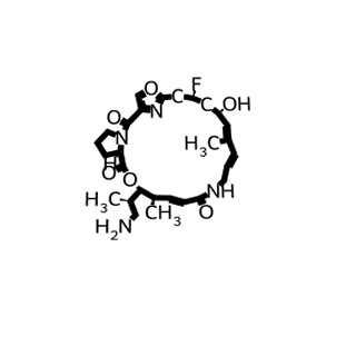 CC1=C\[C@@H](O)C[C@@H](F)Cc2nc(co2)C(=O)N2CCC[C@@H]2C(=O)O[C@H]([C@@H](C)CN)[C@H](C)/C=C/C(=O)NC\C=C\1